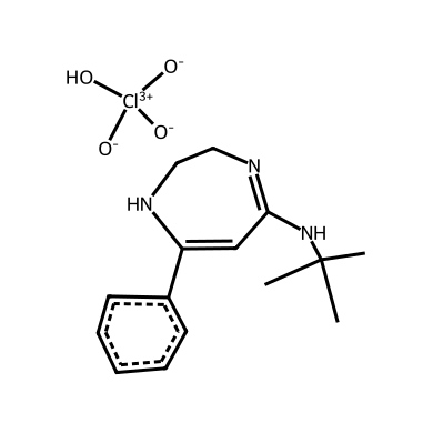 CC(C)(C)NC1=NCCNC(c2ccccc2)=C1.[O-][Cl+3]([O-])([O-])O